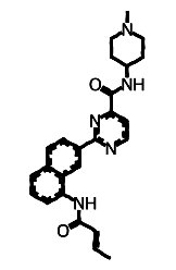 C/C=C/C(=O)Nc1cccc2ccc(-c3nccc(C(=O)NC4CCN(C)CC4)n3)cc12